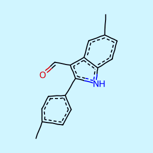 Cc1ccc(-c2[nH]c3ccc(C)cc3c2C=O)cc1